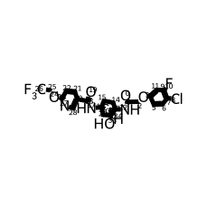 O=C(COc1ccc(Cl)c(F)c1)NC12CCC(NC(=O)c3ccc(OCC(F)(F)F)nc3)(CC1)C[C@@H]2O